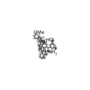 COc1ccc(CN(c2nn(C)c3c(-n4c([C@@H](N)Cc5cc(F)cc(F)c5)nc5ncccc5c4=O)ccc(Cl)c23)S(C)(=O)=O)cc1.Cl